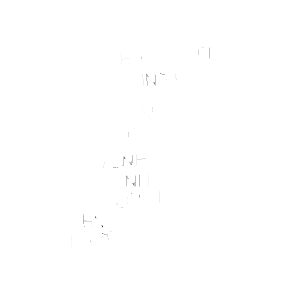 CCCCCC(C)C(=O)NCCOCCOCCNC(=O)C(CCCCNC(C)=O)NC(C)=O